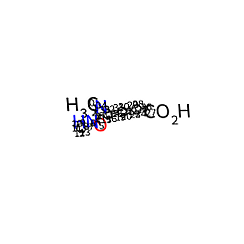 Cc1cc(C(=O)NCc2ccccc2)c2ccc(-c3ccc(C4CCC(CC(=O)O)CC4)cc3)cc2n1